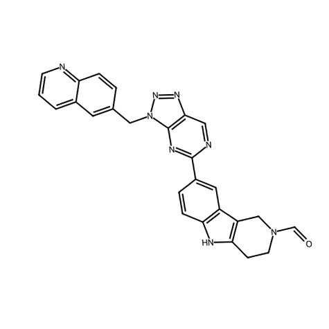 O=CN1CCc2[nH]c3ccc(-c4ncc5nnn(Cc6ccc7ncccc7c6)c5n4)cc3c2C1